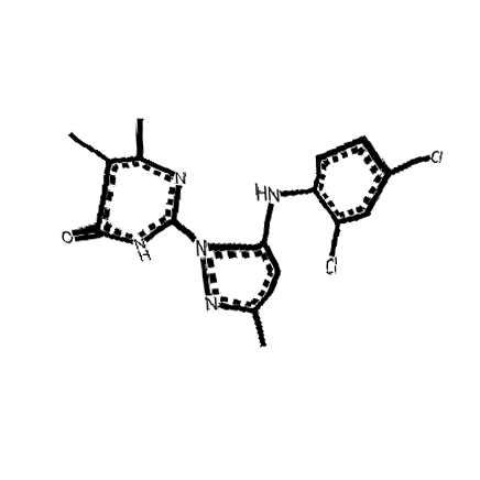 Cc1cc(Nc2ccc(Cl)cc2Cl)n(-c2nc(C)c(C)c(=O)[nH]2)n1